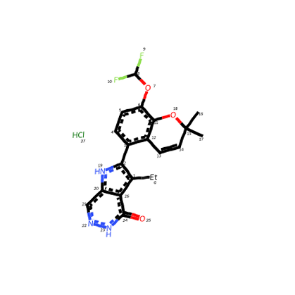 CCc1c(-c2ccc(OC(F)F)c3c2C=CC(C)(C)O3)[nH]c2cn[nH]c(=O)c12.Cl